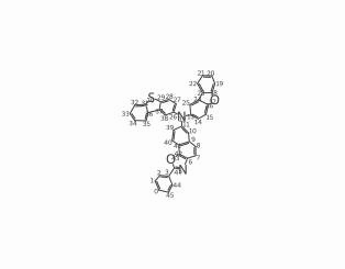 c1ccc(-c2nc3ccc4cc(N(c5ccc6oc7ccccc7c6c5)c5ccc6sc7ccccc7c6c5)ccc4c3o2)cc1